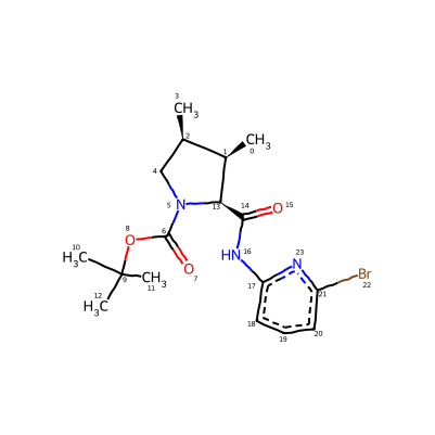 C[C@@H]1[C@H](C)CN(C(=O)OC(C)(C)C)[C@@H]1C(=O)Nc1cccc(Br)n1